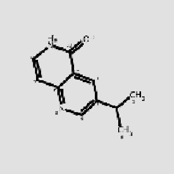 CC(C)c1cnc2cc[nH]c(=O)c2c1